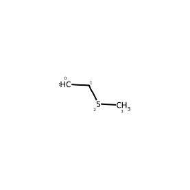 [CH]CSC